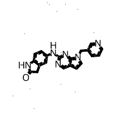 O=C1Cc2cc(Nc3ncc4ccn(Cc5cccnc5)c4n3)ccc2N1